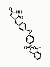 O=C1NC(=O)/C(=C\c2ccc(Oc3ccc(S(=O)(=O)Nc4ccccc4O)cc3)cc2)S1